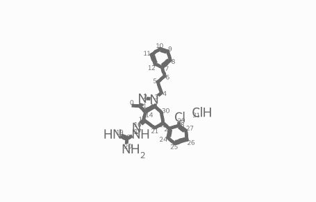 Cc1nn(CCCc2ccccc2)c2c1C(=NNC(=N)N)CC(c1ccccc1Cl)C2.Cl